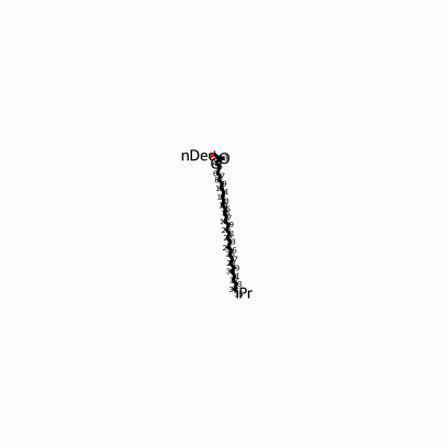 CCCCCCCCCCCC(=O)OCCCCCCCCCCCCCCCCCCCCCCCCCCCCCCC(C)C